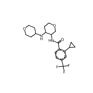 O=C(NC1COCCC1NC1CCOCC1)c1ccc(C(F)(F)F)cc1C1CC1